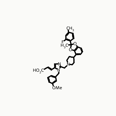 COc1cccc(Cn2c(/C=C/C(=O)O)cnc2CN2CCC(c3cccc4c3OC(C)(c3ccc(C)cc3F)O4)CC2)c1